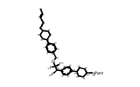 CC=CCCC1CCC(c2ccc(COC(F)(F)C(F)c3ccc(C4CCC(CCCCC)CC4)cc3)cc2)CC1